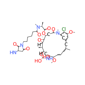 CNC1CC(=O)N(CCCCCC(=O)N(C)[C@@H](C)C(=O)O[C@H]2CC(=O)N(C)c3cc(cc(OC)c3Cl)C/C(C)=C/C=C/[C@@H](OC)[C@@]3(O)C[C@H](OC(O)N3)[C@@H](C)[C@@H]3O[C@@]23C)C1=O